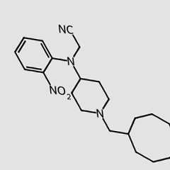 N#CCN(c1ccccc1[N+](=O)[O-])C1CCN(CC2CCCCCCC2)CC1